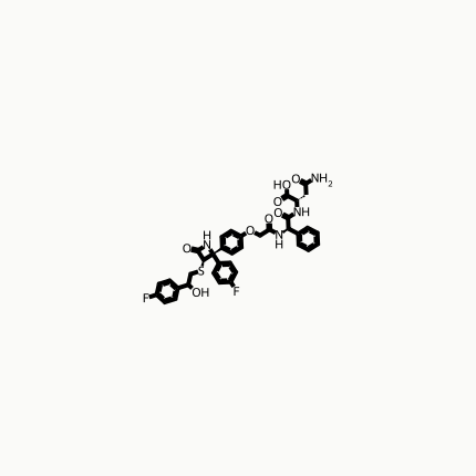 NC(=O)C[C@H](NC(=O)[C@H](NC(=O)COc1ccc([C@]2(c3ccc(F)cc3)NC(=O)[C@@H]2SCC(O)c2ccc(F)cc2)cc1)c1ccccc1)C(=O)O